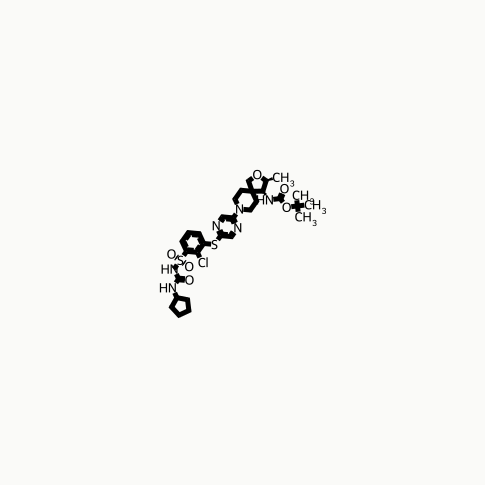 C[C@@H]1OCC2(CCN(c3cnc(Sc4cccc(S(=O)(=O)NC(=O)NC5CCCC5)c4Cl)cn3)CC2)[C@@H]1NC(=O)OC(C)(C)C